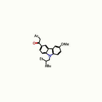 CCCCC(CC)Cn1c2ccc(OC)cc2c2cc(C(=O)CC(C)=O)ccc21